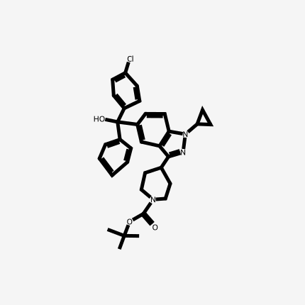 CC(C)(C)OC(=O)N1CCC(c2nn(C3CC3)c3ccc(C(O)(c4ccccc4)c4ccc(Cl)cc4)cc23)CC1